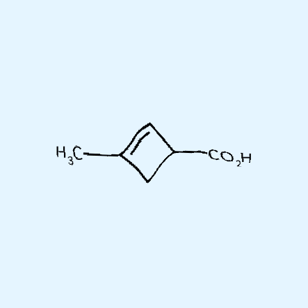 CC1=CC(C(=O)O)C1